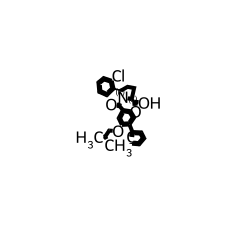 CC(C)COc1cc(C(=O)N2[C@@H](c3ccccc3Cl)CC[C@H]2C(=O)O)ccc1-c1ccccc1